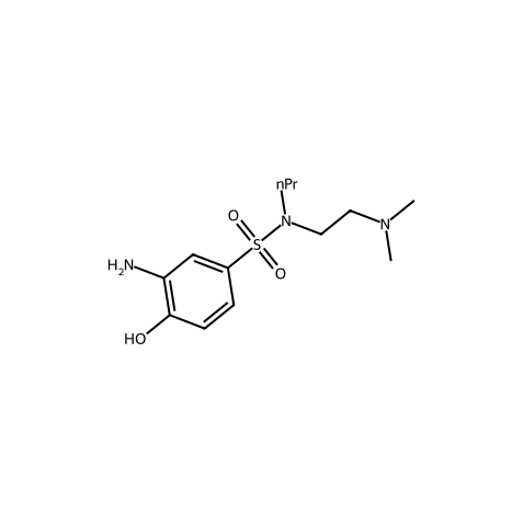 CCCN(CCN(C)C)S(=O)(=O)c1ccc(O)c(N)c1